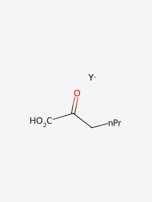 CCCCC(=O)C(=O)O.[Y]